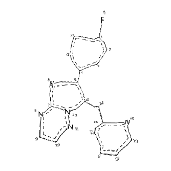 Fc1ccc(-c2nc3nccnn3c2Cc2ccccn2)cc1